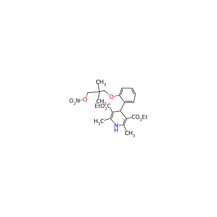 CCOC(=O)C1=C(C)NC(C)=C(C(=O)OCC)C1c1ccccc1OCC(C)(C)CO[N+](=O)[O-]